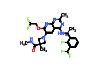 CNC(=O)C1(C)CN(c2cc3c(N[C@H](C)c4cccc(C(F)F)c4F)nc(C)nc3nc2OCC(F)F)C1